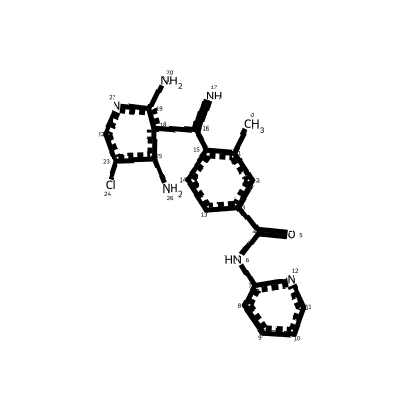 Cc1cc(C(=O)Nc2ccccn2)ccc1C(=N)c1c(N)ncc(Cl)c1N